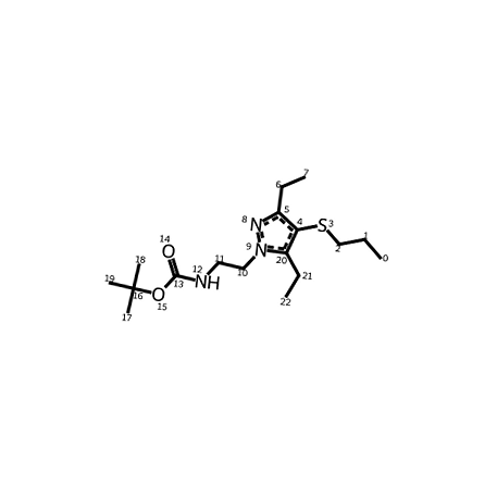 CCCSc1c(CC)nn(CCNC(=O)OC(C)(C)C)c1CC